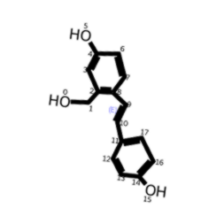 OCc1cc(O)ccc1/C=C/c1ccc(O)cc1